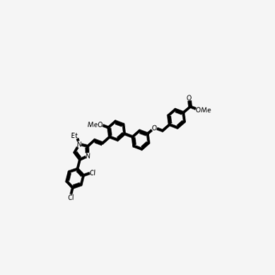 CCn1cc(-c2ccc(Cl)cc2Cl)nc1C=Cc1cc(-c2cccc(OCc3ccc(C(=O)OC)cc3)c2)ccc1OC